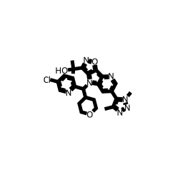 Cc1nnn(C)c1-c1cnc2c3onc(C(C)(C)O)c3n(C(c3ccc(Cl)cn3)C3CCOCC3)c2c1